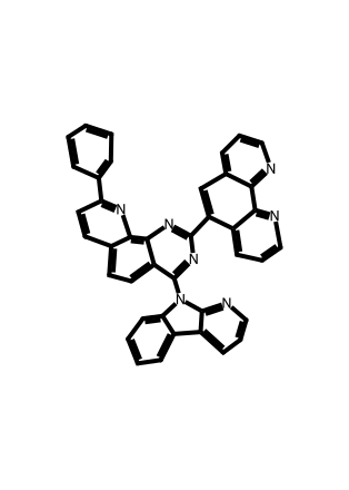 c1ccc(-c2ccc3ccc4c(-n5c6ccccc6c6cccnc65)nc(-c5cc6cccnc6c6ncccc56)nc4c3n2)cc1